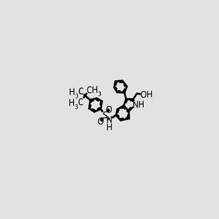 CC(C)(C)c1ccc(S(=O)(=O)Nc2ccc3[nH]c(CO)c(-c4ccccc4)c3c2)cc1